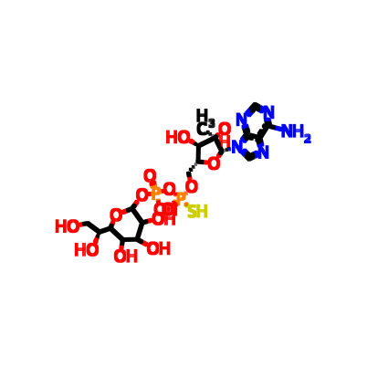 C[C@@]1(O)[C@H](O)[C@@H](COP(=O)(S)OP(=O)(O)OC2OC([C@@H](O)CO)C(O)C(O)C2O)O[C@H]1n1cnc2c(N)ncnc21